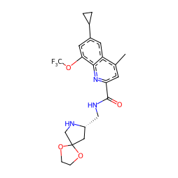 Cc1cc(C(=O)NC[C@@H]2CC3(CN2)OCCO3)nc2c(OC(F)(F)F)cc(C3CC3)cc12